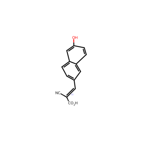 N#C/C(=C\c1ccc2cc(O)ccc2c1)C(=O)O